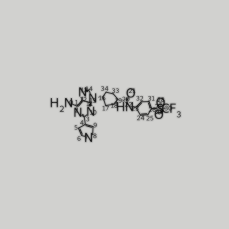 Nc1nc(-c2ccncc2)nc2c1ncn2[C@H]1CC[C@@H](C(=O)Nc2ccc(S(=O)(=O)C(F)(F)F)cc2)CC1